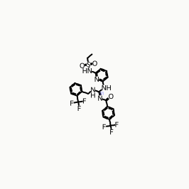 CCS(=O)(=O)Nc1cccc(N/C(=N\C(=O)c2ccc(C(F)(F)F)cc2)NCc2ccccc2C(F)(F)F)n1